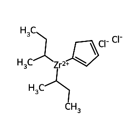 CC[CH](C)[Zr+2]([C]1=CC=CC1)[CH](C)CC.[Cl-].[Cl-]